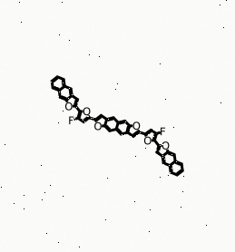 Fc1cc(-c2cc3cc4cc5oc(-c6cc(F)c(-c7cc8cc9ccccc9cc8o7)o6)cc5cc4cc3o2)oc1-c1cc2cc3ccccc3cc2o1